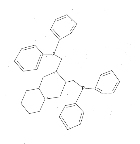 c1ccc(P(CC2CC3CCCCC3CC2CP(c2ccccc2)c2ccccc2)c2ccccc2)cc1